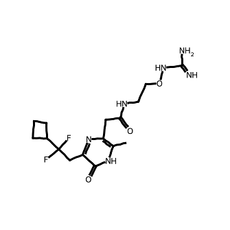 Cc1[nH]c(=O)c(CC(F)(F)C2CCC2)nc1CC(=O)NCCONC(=N)N